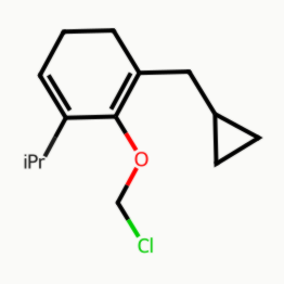 CC(C)C1=CCCC(CC2CC2)=C1OCCl